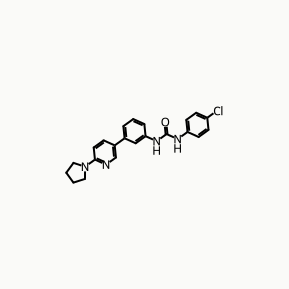 O=C(Nc1ccc(Cl)cc1)Nc1cccc(-c2ccc(N3CCCC3)nc2)c1